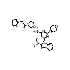 O=C(Cc1ccccn1)N1CC[C@H](CNc2cc(-n3c(C(F)F)nc4ccccc43)nc(N3CCOCC3)n2)C1